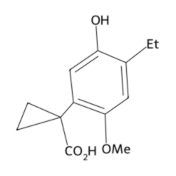 CCc1cc(OC)c(C2(C(=O)O)CC2)cc1O